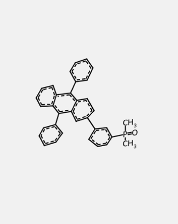 CP(C)(=O)c1cccc(-c2ccc3c(-c4ccccc4)c4ccccc4c(-c4ccccc4)c3c2)c1